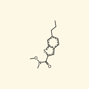 CCCc1ccc2cc(C(=O)N(C)OC)sc2c1